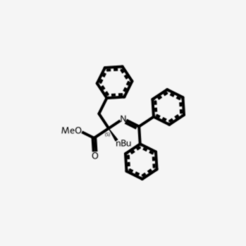 CCCC[C@@](Cc1ccccc1)(N=C(c1ccccc1)c1ccccc1)C(=O)OC